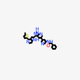 Cc1ccc(-c2nccc3[nH]c(-c4n[nH]c5ncc(-c6cncc(NC(=O)Cc7ccccc7)c6)cc45)cc23)s1